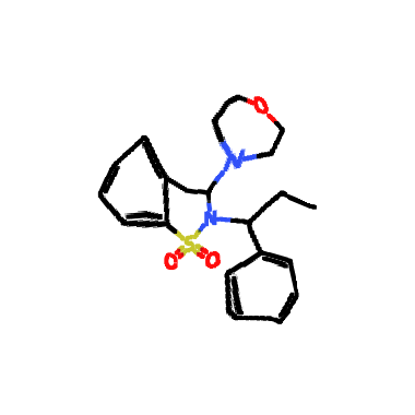 CCC(c1ccccc1)N1C(N2CCOCC2)c2ccccc2S1(=O)=O